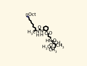 CCCCCCCC/C=C/CCCCCCC(C)NC(=O)N[C@H]1CCCC[C@@H]1OC(=O)CCNC(=O)C1OC(C)(C)OCC1(C)C